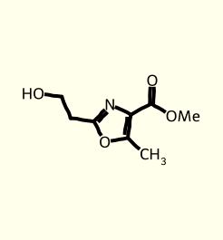 COC(=O)c1nc(CCO)oc1C